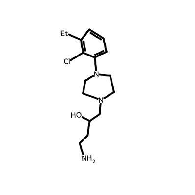 CCc1cccc(N2CCN(CC(O)CCN)CC2)c1Cl